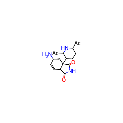 CC(=O)C1CCC(C23C=C(N)C=CC2C(=O)NC3=O)C(C(C)=O)N1